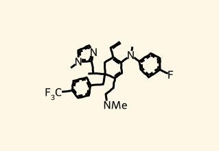 C=CC1=C(N(C)c2ccc(F)cc2)C=C(CCNC)C(Cc2ccc(C(F)(F)F)cc2)(C(C)c2nccn2C)C1